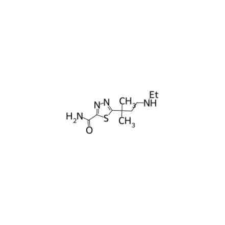 CCNCCC(C)(C)c1nnc(C(N)=O)s1